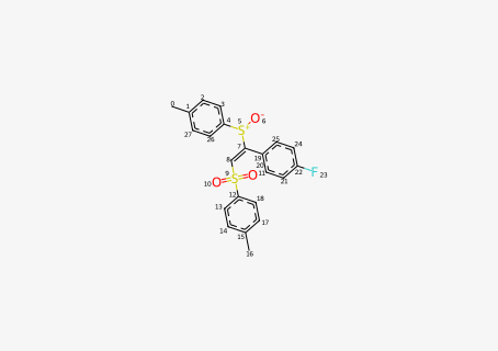 Cc1ccc([S+]([O-])C(=CS(=O)(=O)c2ccc(C)cc2)c2ccc(F)cc2)cc1